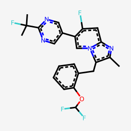 Cc1nc2cc(F)c(-c3cnc(C(C)(C)F)nc3)cn2c1Cc1ccccc1OC(F)F